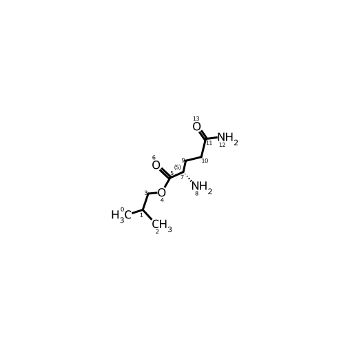 CC(C)COC(=O)[C@@H](N)CCC(N)=O